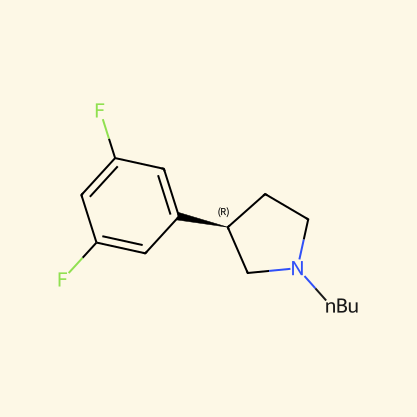 CCCCN1CC[C@H](c2cc(F)cc(F)c2)C1